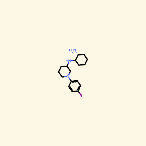 N[C@@H]1CCCC[C@H]1NC1CCCN(c2ccc(I)cc2)C1